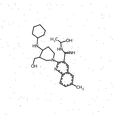 Cc1ccc2nc(N3CCC(NC4CCCCC4)C(CO)C3)c(C(=N)NC(C)O)cc2c1